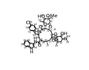 CO[C@]1(C)C[C@H](O[C@H]2[C@H](C)[C@@H](O[C@@H]3O[C@H](C)C[C@H](N(C)C)[C@H]3O)[C@](C)(O)C[C@@H](C)CN(C(=O)Nc3c[nH]c4ccccc34)CC(Cc3ccc(Cl)cc3)NC(=O)[C@@H]2C)O[C@@H](C)[C@@H]1O